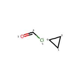 C1CC1.O=CCl